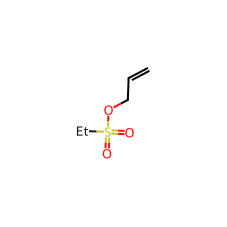 C=CCOS(=O)(=O)CC